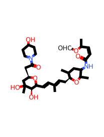 CC(/C=C/C1O[C@H](CC(=O)N2CCC(O)CC2)CC(C)(O)[C@@H]1O)=C\C[C@@H]1OC(C)C(NC(=O)/C=C\C(C)OC=O)CC1C